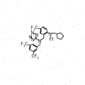 CCN(CC1CCCC1)c1ccc(C(F)(F)F)cc1CN(Cc1cc(C(F)(F)F)cc(C(F)(F)F)c1)c1nnn(C)n1